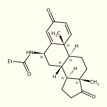 CCC(=O)N[C@@H]1C[C@@H]2[C@H](CC[C@]3(C)C(=O)CC[C@@H]23)[C@@]2(C)C=CC(=O)C=C12